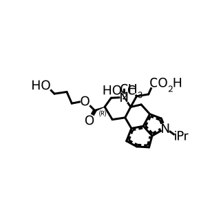 CC(C)n1cc2c3c(cccc31)C1C[C@@H](C(=O)OCCCO)CN(C)C1(C(CC(=O)O)C(=O)O)C2